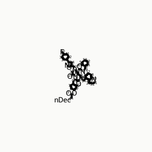 CCCCCCCCCCCC(=O)Oc1ccc(C[C@H]2C(=O)N(Cc3cccc4ncccc34)CC3N2C(=O)CN(Cc2cc(-c4ccc(F)cc4)no2)N3C(=O)NCc2ccccc2)cc1